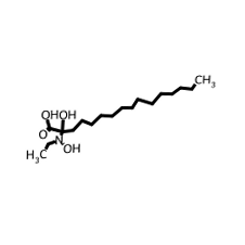 CCCCCCCCCCCCCCC(O)(C(=O)O)N(O)CC